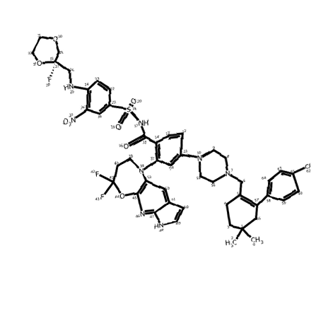 CC1(C)CCC(CN2CCN(c3ccc(C(=O)NS(=O)(=O)c4ccc(NC[C@]5(F)COCCO5)c([N+](=O)[O-])c4)c(N4CCC(F)(F)Oc5nc6[nH]ccc6cc54)c3)CC2)=C(c2ccc(Cl)cc2)C1